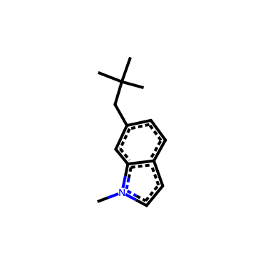 Cn1ccc2ccc(CC(C)(C)C)cc21